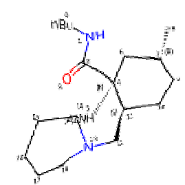 CCCCNC(=O)[C@@]1(NC(C)=O)C[C@H](C)CC[C@H]1CN1CCCCC1